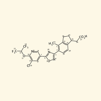 Cc1c(-c2noc(-c3cnc(OC(C(F)(F)F)C(F)(F)F)c(Cl)c3)n2)ccc2c1CCC2CC(=O)O